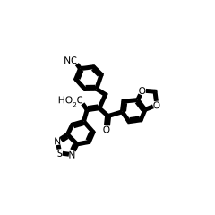 N#Cc1ccc(C/C(C(=O)c2ccc3c(c2)OCO3)=C(\C(=O)O)c2ccc3nsnc3c2)cc1